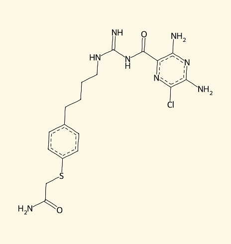 N=C(NCCCCc1ccc(SCC(N)=O)cc1)NC(=O)c1nc(Cl)c(N)nc1N